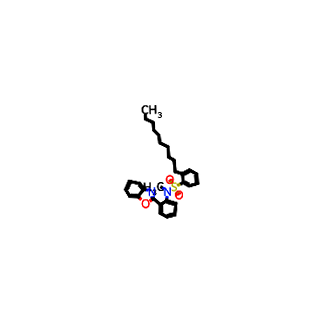 CCCCCCCCCCc1ccccc1S(=O)(=O)N(C)c1ccccc1-c1nc2ccccc2o1